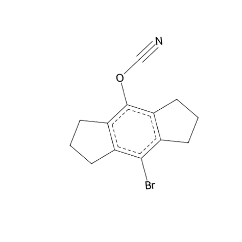 N#COc1c2c(c(Br)c3c1CCC3)CCC2